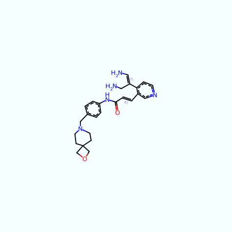 N/C=C(\CN)c1ccncc1/C=C/C(=O)Nc1ccc(CN2CCC3(CC2)COC3)cc1